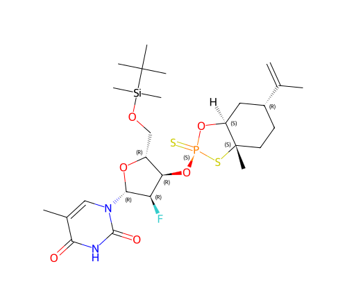 C=C(C)[C@@H]1CC[C@]2(C)S[P@@](=S)(O[C@H]3[C@@H](F)[C@H](n4cc(C)c(=O)[nH]c4=O)O[C@@H]3CO[Si](C)(C)C(C)(C)C)O[C@H]2C1